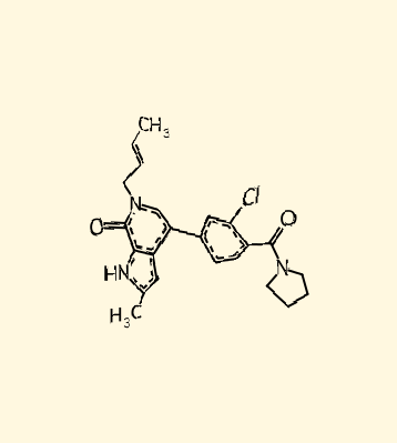 CC=CCn1cc(-c2ccc(C(=O)N3CCCC3)c(Cl)c2)c2cc(C)[nH]c2c1=O